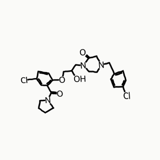 O=C1CN(Cc2ccc(Cl)cc2)CCN1CC(O)COc1ccc(Cl)cc1C(=O)N1CCCC1